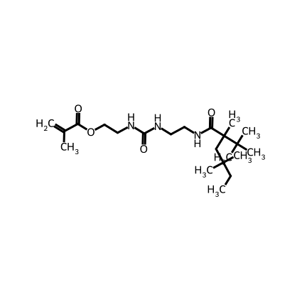 C=C(C)C(=O)OCCNC(=O)NCCNC(=O)C(C)(CC(C)(C)CC)C(C)(C)C